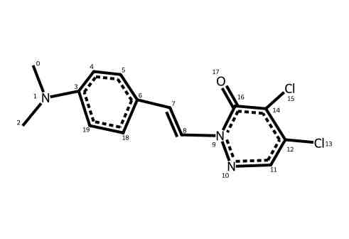 CN(C)c1ccc(C=Cn2ncc(Cl)c(Cl)c2=O)cc1